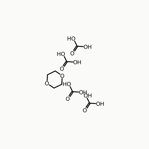 C1COCCO1.O=C(O)O.O=C(O)O.O=C(O)O.O=C(O)O